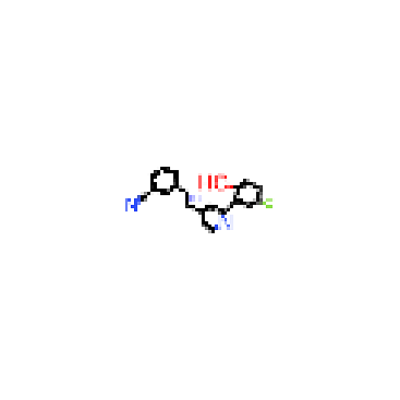 N#Cc1cccc(/C=C/c2ccnc(-c3cc(F)ccc3O)c2)c1